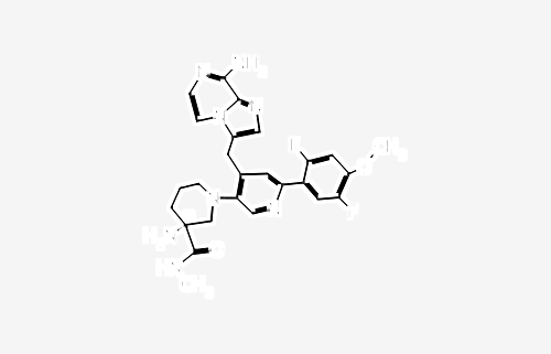 CNC(=O)[C@]1(N)CCCN(c2cnc(-c3cc(F)c(OC)cc3F)cc2Cc2cnc3c(N)nccn23)C1